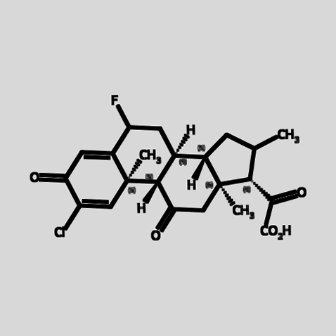 CC1C[C@H]2[C@@H]3CC(F)C4=CC(=O)C(Cl)=C[C@]4(C)[C@H]3C(=O)C[C@]2(C)[C@H]1C(=O)C(=O)O